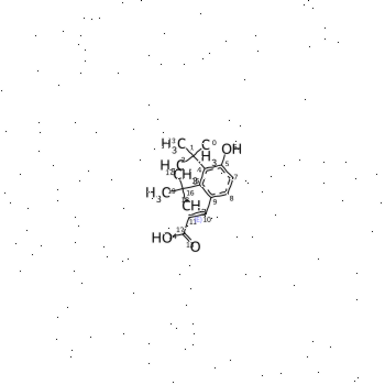 CC(C)(C)c1c(O)ccc(/C=C/C(=O)O)c1C(C)(C)C